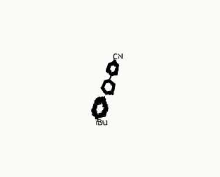 CCC(C)c1ccc([C@H]2CC[C@H](c3ccc(C#N)cc3)CC2)cc1